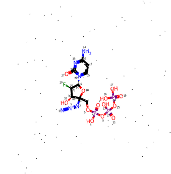 [N-]=[N+]=NC1(COP(=O)(O)OP(=O)(O)OP(=O)(O)O)O[C@@H](n2ccc(N)nc2=O)[C@H](F)[C@@H]1O